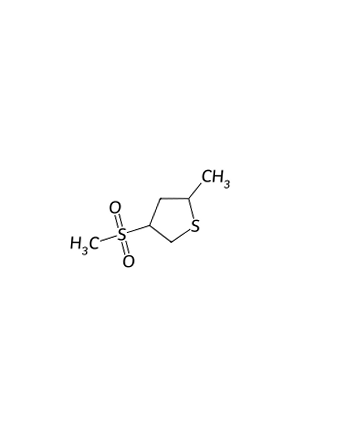 CC1CC(S(C)(=O)=O)CS1